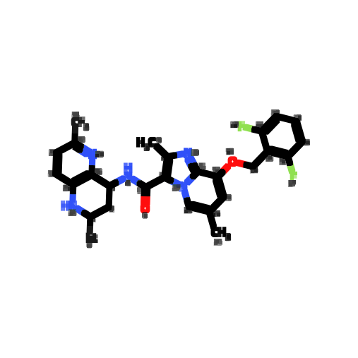 CCC1CC(NC(=O)c2c(C)nc3c(OCc4c(F)cccc4F)cc(C)cn23)c2nc(C(F)(F)F)ccc2N1